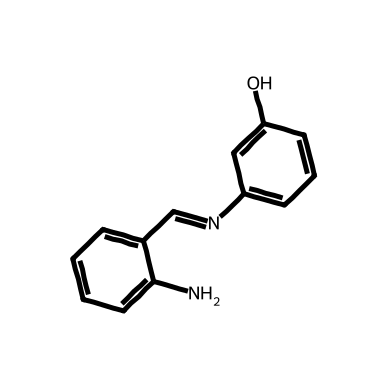 Nc1ccccc1C=Nc1cccc(O)c1